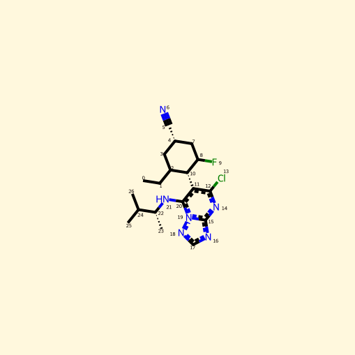 CCC1C[C@H](C#N)CC(F)[C@@H]1c1c(Cl)nc2ncnn2c1N[C@H](C)C(C)C